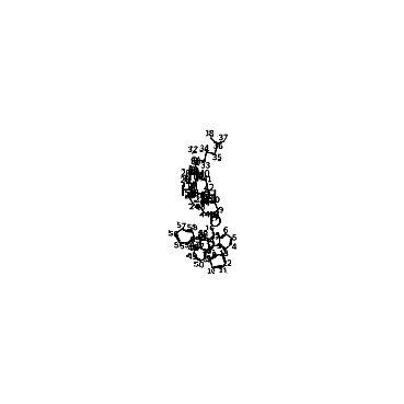 C=P(c1ccccc1)(c1ccccc1)C(CCO[C@H]1CC[C@@]2(C)C(=CC[C@H]3[C@@H]4CC[C@H]([C@H](C)CCCC(C)C)[C@@]4(C)CC[C@@H]32)C1)P(=C)(c1ccccc1)c1ccccc1